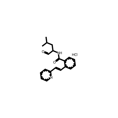 CC(C)CC(C=O)NC(=O)c1ccccc1C=Cc1ccccn1.Cl